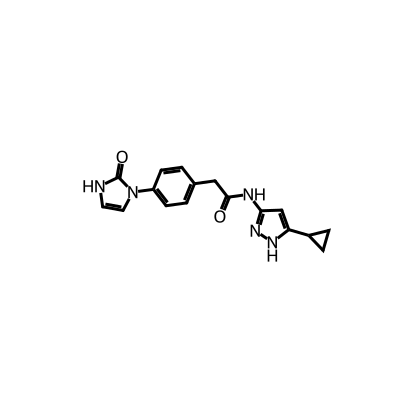 O=C(Cc1ccc(-n2cc[nH]c2=O)cc1)Nc1cc(C2CC2)[nH]n1